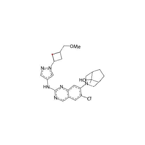 COCC12CC(n3cc(Nc4ncc5cc(Cl)c(N6CC7CCC(C6)C7(C)O)cc5n4)cn3)(C1)C2